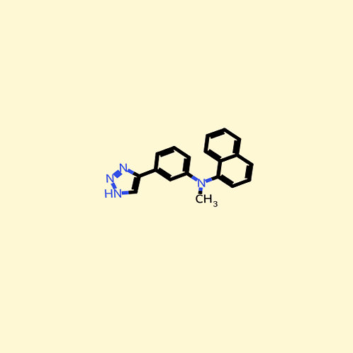 CN(c1cccc(-c2c[nH]nn2)c1)c1cccc2ccccc12